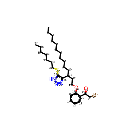 CCCCCCCCCCCC(CCOc1ccccc1C(=O)CBr)c1nn[nH]c1SCCCCCCC